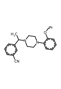 CC(C)Oc1ccccc1N1CCN(C(C)c2cccc(C#N)c2)CC1